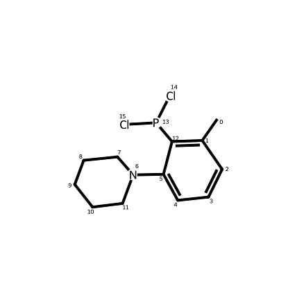 Cc1cccc(N2CCCCC2)c1P(Cl)Cl